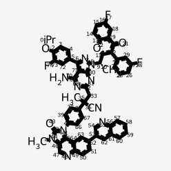 CC(C)Oc1ccc(-c2nn([C@@H](C)c3oc4ccc(F)cc4c(=O)c3-c3cccc(F)c3)c3nc(CC(C)(C#N)c4ccc(-n5c(=O)n(C)c6cnc7ccc(-c8cnc9ccccc9c8)cc7c65)cc4)nc(N)c23)cc1F